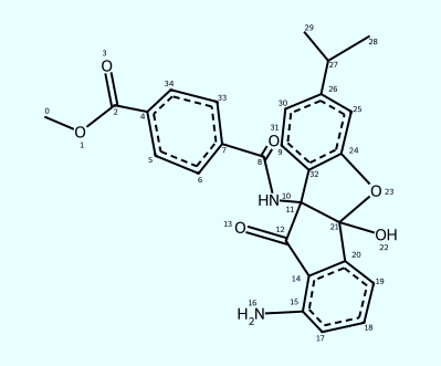 COC(=O)c1ccc(C(=O)NC23C(=O)c4c(N)cccc4C2(O)Oc2cc(C(C)C)ccc23)cc1